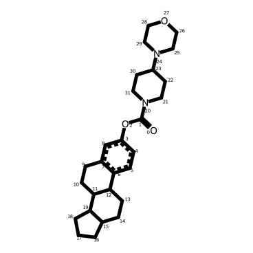 O=C(Oc1ccc2c(c1)CCC1C2CCC2CCCC21)N1CCC(N2CCOCC2)CC1